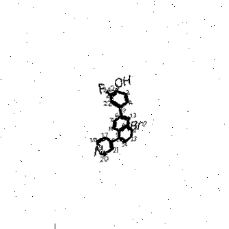 Br.Oc1ccc(-c2ccc3c(c2)CCC=C3c2ccncc2)cc1F